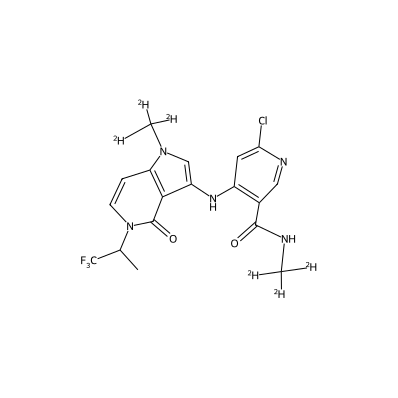 [2H]C([2H])([2H])NC(=O)c1cnc(Cl)cc1Nc1cn(C([2H])([2H])[2H])c2ccn(C(C)C(F)(F)F)c(=O)c12